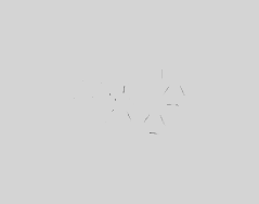 O=C1/C(=C/c2cccc(-c3cccc(F)c3)c2)SC(=S)N1C1C2CC3CC(C2)CC1C3